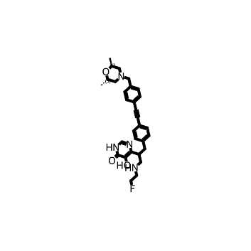 C[C@H]1CN(Cc2ccc(C#Cc3ccc(CC(CNCCF)c4nc[nH]c(=O)c4O)cc3)cc2)C[C@H](C)O1